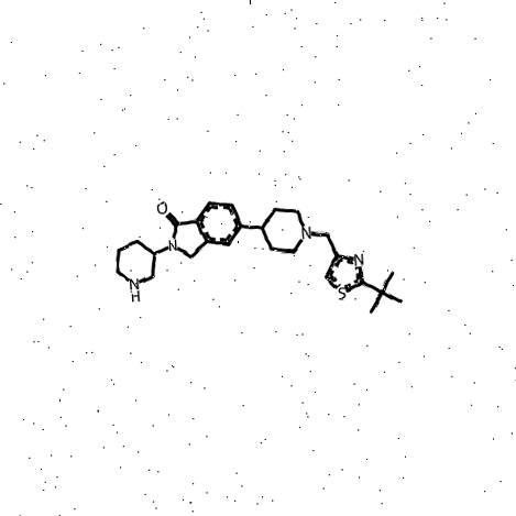 CC(C)(C)c1nc(CN2CCC(c3ccc4c(c3)CN(C3CCCNC3)C4=O)CC2)cs1